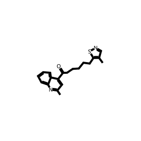 Cc1cc(C(=O)CCCCCc2sncc2C)c2ccccc2n1